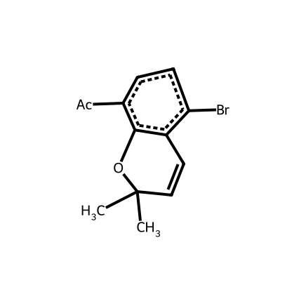 CC(=O)c1ccc(Br)c2c1OC(C)(C)C=C2